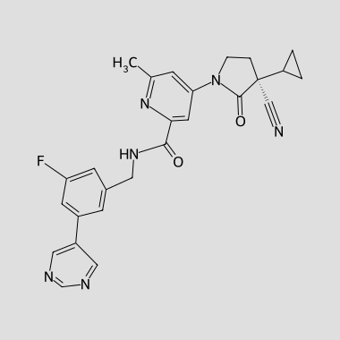 Cc1cc(N2CC[C@@](C#N)(C3CC3)C2=O)cc(C(=O)NCc2cc(F)cc(-c3cncnc3)c2)n1